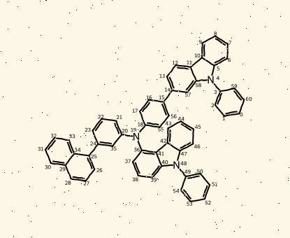 c1ccc(-n2c3ccccc3c3ccc(-c4ccc(N(c5cccc(-c6cccc7ccccc67)c5)c5cccc6c5c5ccccc5n6-c5ccccc5)cc4)cc32)cc1